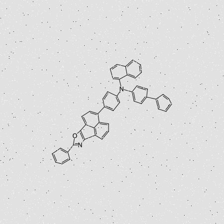 c1ccc(-c2ccc(N(c3ccc(-c4ccc5c6c(cccc46)-c4nc(-c6ccccc6)oc4-5)cc3)c3cccc4ccccc34)cc2)cc1